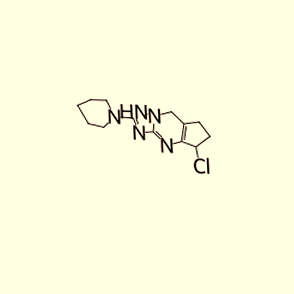 ClC1CCC2=C1N=C1N=C(N3CCCCC3)NN1C2